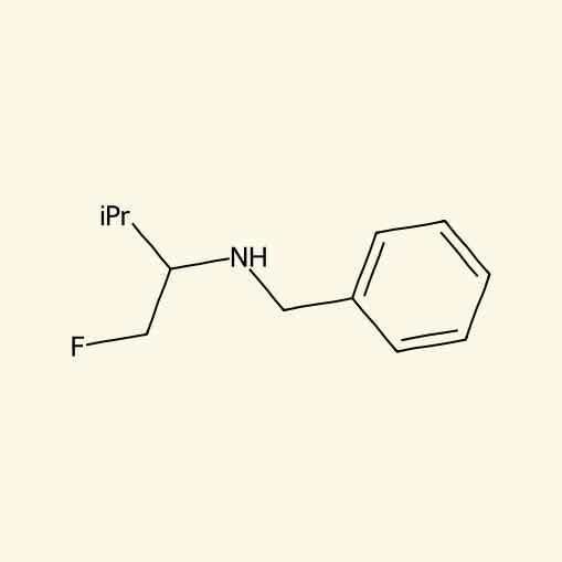 CC(C)C(CF)NCc1ccccc1